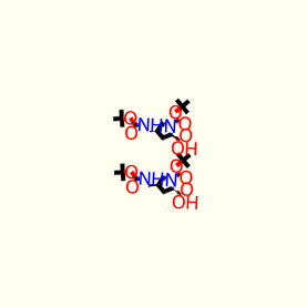 CC(C)(C)OC(=O)NC[C@@H]1C[C@@H](C(=O)O)N(C(=O)OC(C)(C)C)C1.CC(C)(C)OC(=O)NC[C@H]1C[C@H](C(=O)O)N(C(=O)OC(C)(C)C)C1